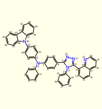 c1ccc(N(c2ccc(-c3nnc(-c4cccc5cccnc45)n3-c3ccccc3)cc2)c2ccc(-n3c4ccccc4c4ccccc43)cc2)cc1